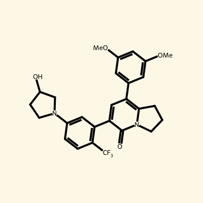 COc1cc(OC)cc(-c2cc(-c3cc(N4CCC(O)C4)ccc3C(F)(F)F)c(=O)n3c2CCC3)c1